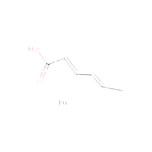 C/C=C/C=C/C(=O)O.[Ru]